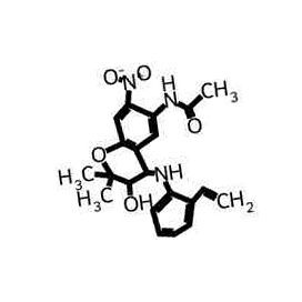 C=Cc1ccccc1NC1c2cc(NC(C)=O)c([N+](=O)[O-])cc2OC(C)(C)C1O